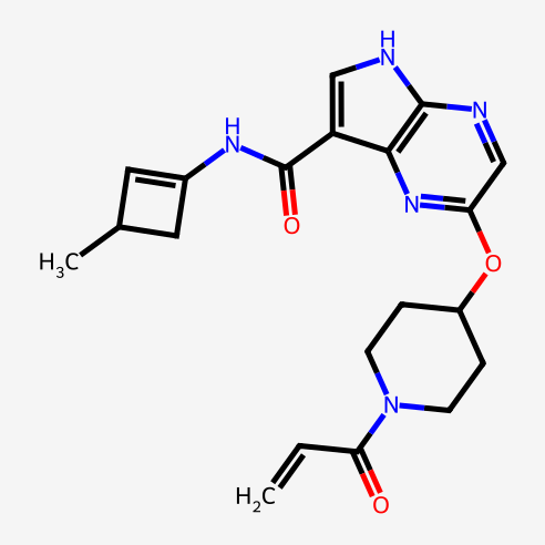 C=CC(=O)N1CCC(Oc2cnc3[nH]cc(C(=O)NC4=CC(C)C4)c3n2)CC1